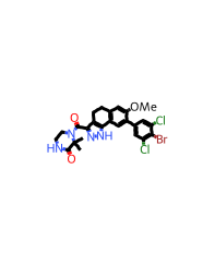 COc1cc2c(cc1-c1cc(Cl)c(Br)c(Cl)c1)-c1[nH]nc(C(=O)N3CCNC(=O)C3(C)C)c1CC2